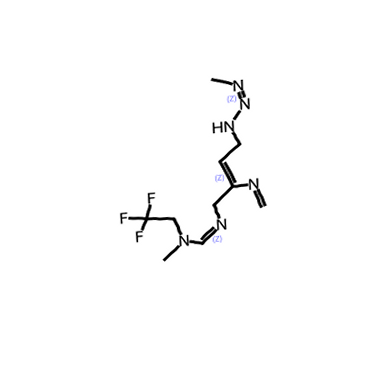 C=N/C(=C\CN/N=N\C)C/N=C\N(C)CC(F)(F)F